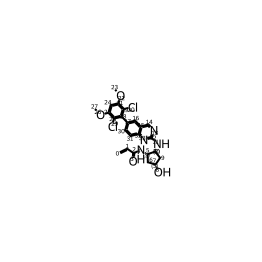 C=CC(=O)N[C@H]1C[C@@H](O)C[C@H]1Nc1ncc2cc(-c3c(Cl)c(OC)cc(OC)c3Cl)ccc2n1